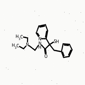 CCN(CC)CNC(=O)C(S)(Cc1ccccc1)c1ccccn1